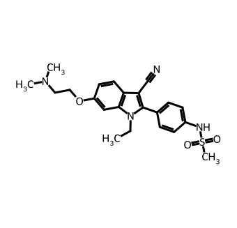 CCn1c(-c2ccc(NS(C)(=O)=O)cc2)c(C#N)c2ccc(OCCN(C)C)cc21